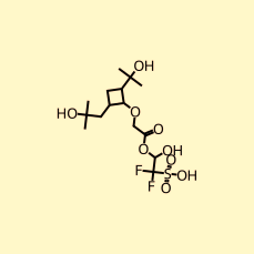 CC(C)(O)CC1CC(C(C)(C)O)C1OCC(=O)OC(O)C(F)(F)S(=O)(=O)O